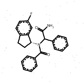 NC(=O)C(c1ccccc1)N(C(=O)c1ccccc1)[C@@H]1CCc2ccc(F)cc21